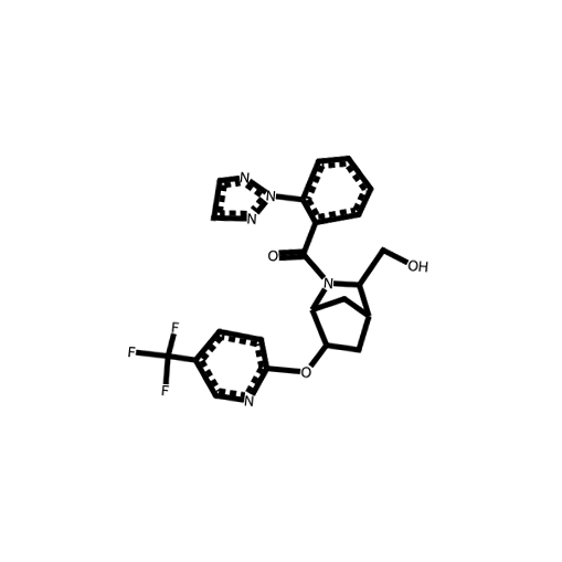 O=C(c1ccccc1-n1nccn1)N1C(CO)C2CC(Oc3ccc(C(F)(F)F)cn3)C1C2